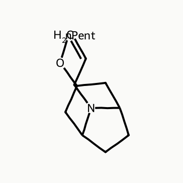 C=CCN1C2CCC1CC(OCCCCC)C2